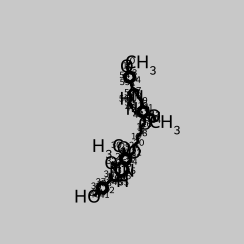 COc1ccc(C2=CN3Cc4cc(OC)c(OCCCCCOc5cc6c(cc5OC)C(=O)N5C=C(c7ccc(O)cc7)C[C@H]5C=N6)cc4N=C[C@@H]3C2)cc1